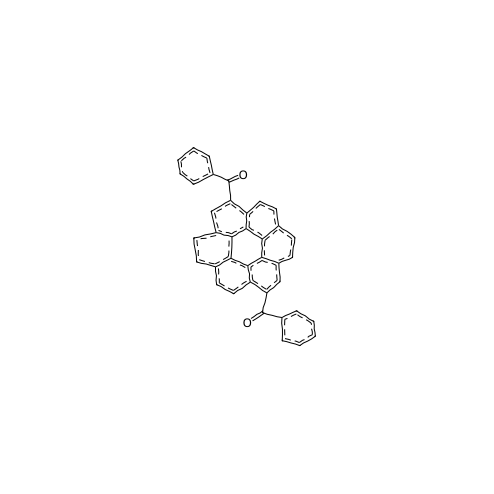 O=C(c1ccccc1)c1cc2ccc3ccc4c(C(=O)c5ccccc5)cc5ccc6ccc1c1c6c5c4c3c21